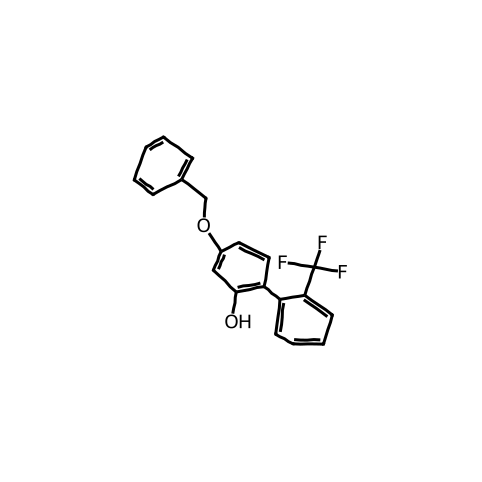 Oc1cc(OCc2ccccc2)ccc1-c1ccccc1C(F)(F)F